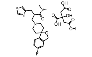 CN(C)C(=O)C(Cc1cscn1)CN1CCC2(CC1)OCc1cc(F)ccc12.O=C(O)CC(O)(CC(=O)O)C(=O)O